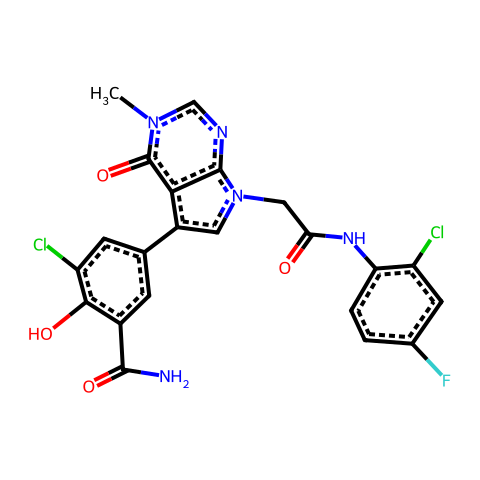 Cn1cnc2c(c(-c3cc(Cl)c(O)c(C(N)=O)c3)cn2CC(=O)Nc2ccc(F)cc2Cl)c1=O